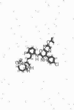 CC(C)Oc1cnc(C(c2ccc(Cl)cc2)C(N)C(=O)Nc2cccc(F)c2CC[C@H]2CN[C@@H]3CCCS(=O)(=O)N2C3)cn1